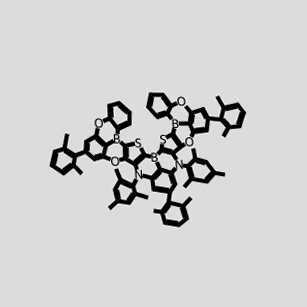 Cc1cc(C)c(N2c3cc(-c4c(C)cccc4C)cc4c3B(c3sc5c(c32)Oc2cc(-c3c(C)cccc3C)cc3c2B5c2ccccc2O3)c2sc3c(c2N4c2c(C)cc(C)cc2C)Oc2cc(-c4c(C)cccc4C)cc4c2B3c2ccccc2O4)c(C)c1